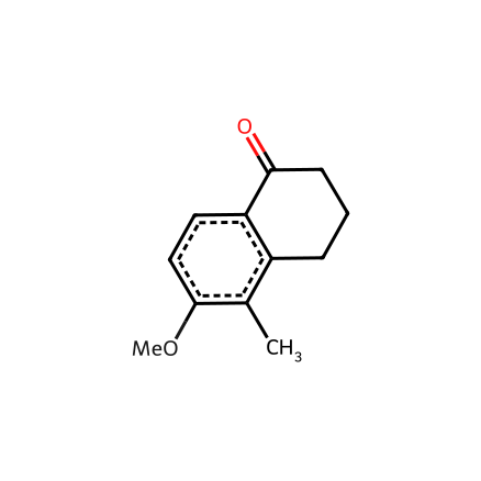 COc1ccc2c(c1C)CCCC2=O